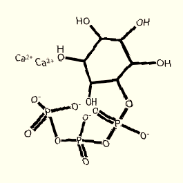 O=P([O-])([O-])OP(=O)([O-])OP(=O)([O-])OC1C(O)C(O)C(O)C(O)C1O.[Ca+2].[Ca+2]